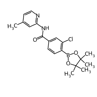 Cc1ccnc(NC(=O)c2ccc(B3OC(C)(C)C(C)(C)O3)c(Cl)c2)c1